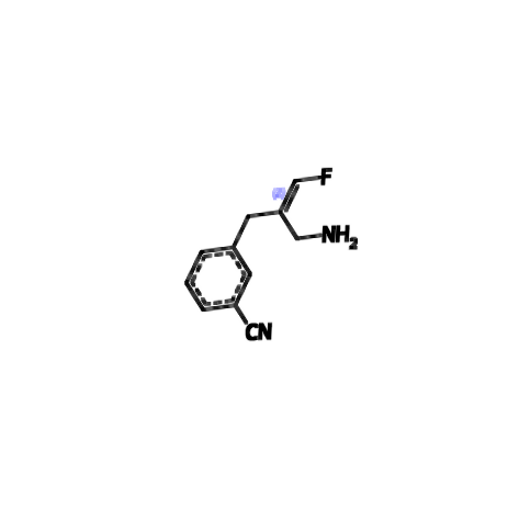 N#Cc1cccc(C/C(=C/F)CN)c1